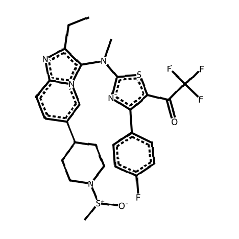 CCc1nc2ccc(C3CCN([S+](C)[O-])CC3)cn2c1N(C)c1nc(-c2ccc(F)cc2)c(C(=O)C(F)(F)F)s1